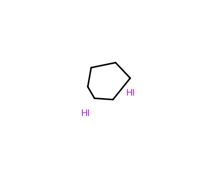 C1CCCCC1.I.I